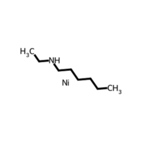 CCCCCCNCC.[Ni]